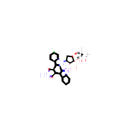 CC(C)(C)[Si](C)(C)O[C@H]1CC(n2c3cc(Cl)ccc3c3c4c(c5c6ccccc6[nH]c5c32)C(=O)NC4=O)[C@H](O)[C@@H]1O